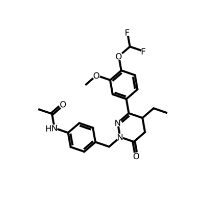 CCC1CC(=O)N(Cc2ccc(NC(C)=O)cc2)N=C1c1ccc(OC(F)F)c(OC)c1